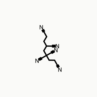 N#CCCC(C#N)CC(C#N)(C#N)CCC#N